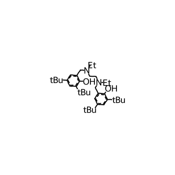 CCN(CCN(CC)Cc1cc(C(C)(C)C)cc(C(C)(C)C)c1O)Cc1cc(C(C)(C)C)cc(C(C)(C)C)c1O